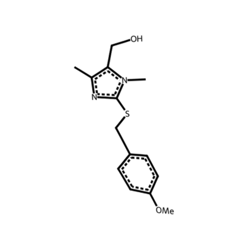 COc1ccc(CSc2nc(C)c(CO)n2C)cc1